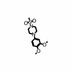 COc1ccc(N2CCN(S(C)(=O)=O)CC2)cc1OC